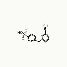 C#Cc1cccc(Cc2ccc(S(=O)(=O)O)cc2)c1